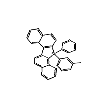 Cc1cccc([Si]2(c3ccccc3)c3ccc4ccccc4c3-c3ccc4ccccc4c32)c1